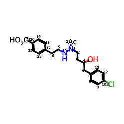 CC(=O)N(CCC(O)Cc1ccc(Cl)cc1)NCCc1ccc(C(=O)O)cc1